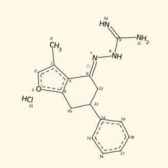 Cc1coc2c1/C(=N/NC(=N)N)CC(c1ccccc1)C2.Cl